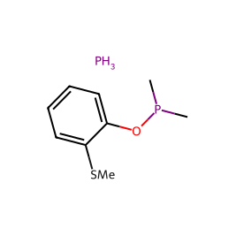 CSc1ccccc1OP(C)C.P